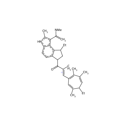 C=C(NC)c1c(C)[nH]c2ccc3c(c12)C(CC)CC3C(=O)/C(C)=C/C1=C(C)C(C)=CC(CC)C(C)=C1